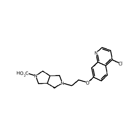 O=C(O)N1CC2CN(CCOc3ccc4c(Cl)ccnc4c3)CC2C1